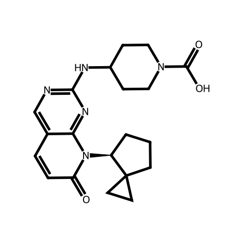 O=C(O)N1CCC(Nc2ncc3ccc(=O)n([C@H]4CCCC45CC5)c3n2)CC1